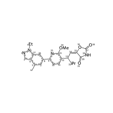 CCn1ncc2c(C)cc(-c3ccc(C(C=C4OC(=O)NC4=O)C(C)C)c(OC)n3)cc21